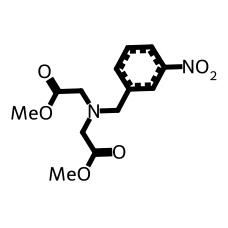 COC(=O)CN(CC(=O)OC)Cc1cccc([N+](=O)[O-])c1